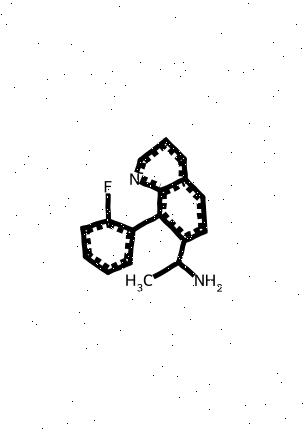 CC(N)c1ccc2cccnc2c1-c1ccccc1F